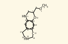 COCC1CNc2cc3c(cc2O1)CCNCC3